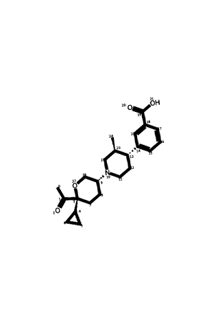 CC(=O)[C@@]1(C2CC2)CC[C@@H](N2CC[C@@H](c3cccc(C(=O)O)c3)[C@H](C)C2)CO1